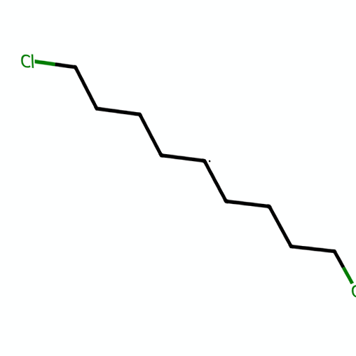 ClCCCC[CH]CCCCCl